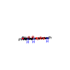 CC(C)NCCCOCCOCCOCCCNC(=O)CCCC(=O)NCCCCN(C)C(C)C